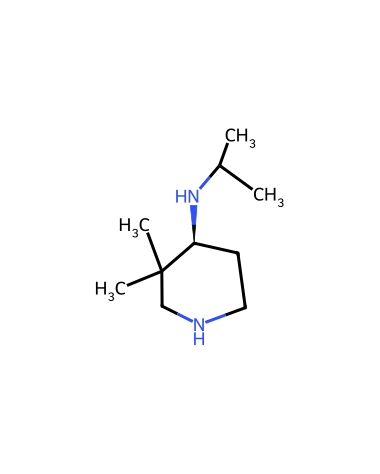 CC(C)N[C@H]1CCNCC1(C)C